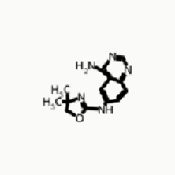 CC1(C)COC(Nc2ccc3ncnc(N)c3c2)=N1